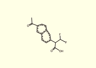 CC(=O)c1ccc2cc(C(C(=O)O)C(F)F)ccc2c1